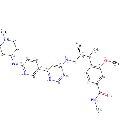 CNC(=O)c1ccc(C(C)[C@H](C)CNc2cc(-c3ccc(NC4CCN(C)CC4)nc3)ncn2)c(OC)c1